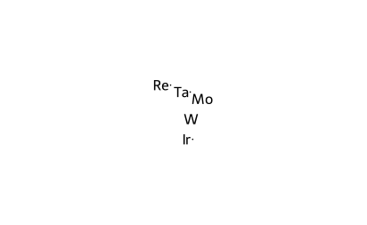 [Ir].[Mo].[Re].[Ta].[W]